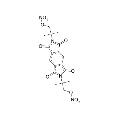 CC(C)(CO[N+](=O)[O-])n1c(=O)c2cc3c(=O)n(C(C)(C)CO[N+](=O)[O-])c(=O)c3cc2c1=O